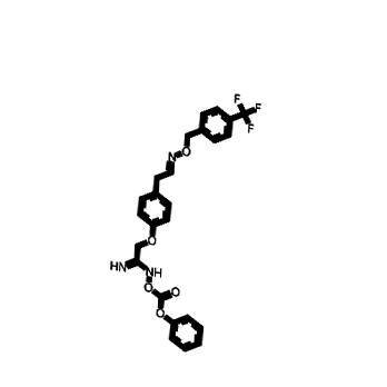 N=C(COc1ccc(CC=NOCc2ccc(C(F)(F)F)cc2)cc1)NOC(=O)Oc1ccccc1